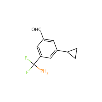 O=Cc1cc(C2CC2)cc(C(F)(F)P)c1